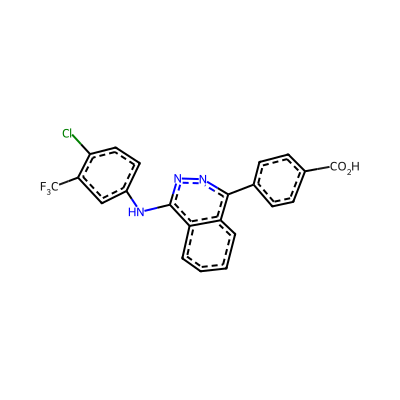 O=C(O)c1ccc(-c2nnc(Nc3ccc(Cl)c(C(F)(F)F)c3)c3ccccc23)cc1